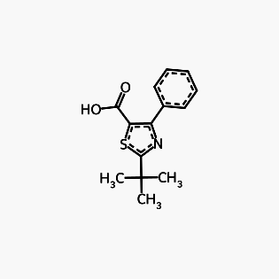 CC(C)(C)c1nc(-c2ccccc2)c(C(=O)O)s1